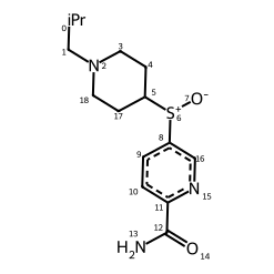 CC(C)CN1CCC([S+]([O-])c2ccc(C(N)=O)nc2)CC1